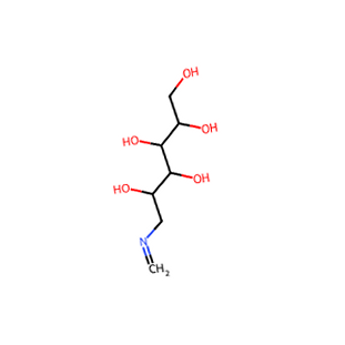 C=NCC(O)C(O)C(O)C(O)CO